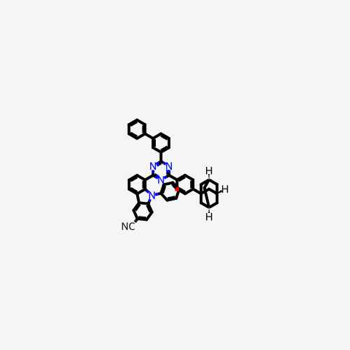 N#Cc1ccc2c(c1)c1cccc(-c3nc(-c4ccc(C56C[C@H]7C[C@@H](C5)C[C@@H](C6)C7)cc4)nc(-c4cccc(-c5ccccc5)c4)n3)c1n2-c1ccccc1